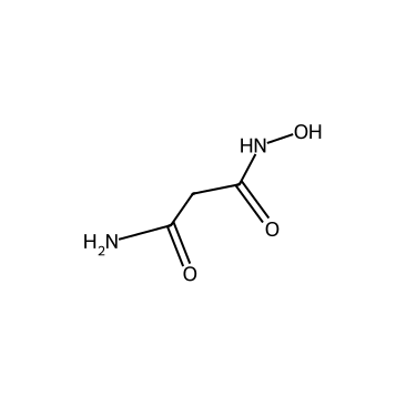 NC(=O)CC(=O)NO